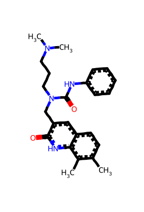 Cc1ccc2cc(CN(CCCN(C)C)C(=O)Nc3ccccc3)c(=O)[nH]c2c1C